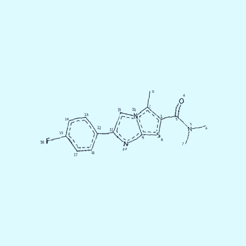 Cc1c(C(=O)N(C)C)sc2nc(-c3ccc(F)cc3)cn12